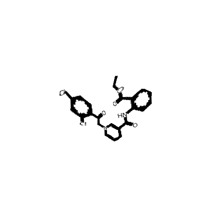 CCOC(=O)c1ccccc1NC(=O)C1=CN(CC(=O)c2ccc(Cl)cc2Cl)C=CC1